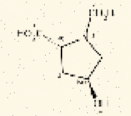 O=C(O)[C@H]1C[C@H](O)CN1C(=O)O